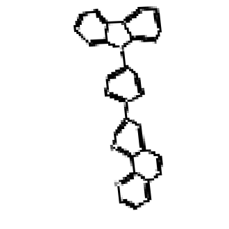 c1cnc2c(c1)ccc1cc(-c3ccc(-n4c5ccccc5c5ccccc54)cc3)cnc12